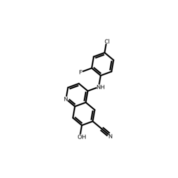 N#Cc1cc2c(Nc3ccc(Cl)cc3F)ccnc2cc1O